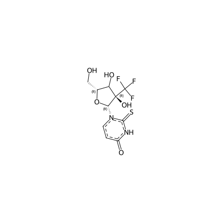 O=c1ccn([C@@H]2O[C@H](CO)C(O)[C@]2(O)C(F)(F)F)c(=S)[nH]1